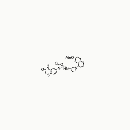 COc1ccc2nccc(N3CCC(NCC4CN(c5ccc6c(c5)NC(=O)CS6)C(=O)O4)C3)c2c1